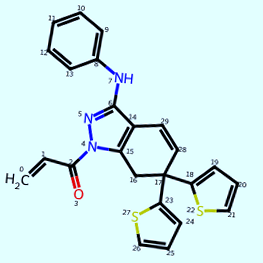 C=CC(=O)n1nc(Nc2ccccc2)c2c1CC(c1cccs1)(c1cccs1)C=C2